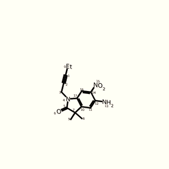 CCC#CCN1C(=O)C(C)(C)c2cc(N)c([N+](=O)[O-])cc21